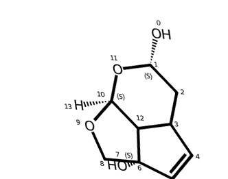 O[C@@H]1CC2C=C[C@@]3(O)CO[C@@H](O1)C23